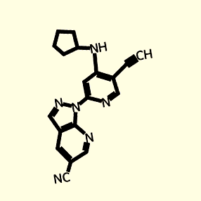 C#Cc1cnc(-n2ncc3cc(C#N)cnc32)cc1NC1CCCC1